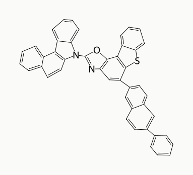 c1ccc(-c2ccc3cc(-c4cc5nc(-n6c7ccccc7c7c8ccccc8ccc76)oc5c5c4sc4ccccc45)ccc3c2)cc1